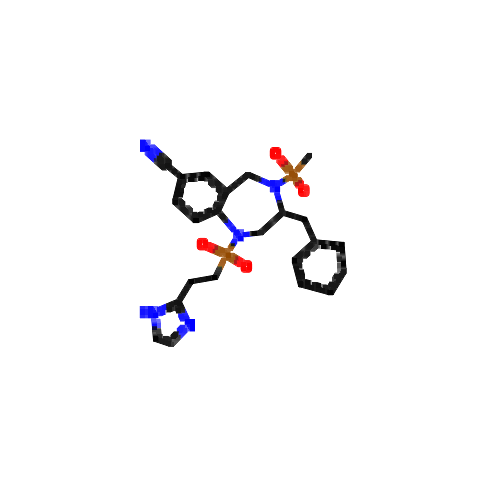 CS(=O)(=O)N1Cc2cc(C#N)ccc2N(S(=O)(=O)CCc2ncc[nH]2)CC1Cc1ccccc1